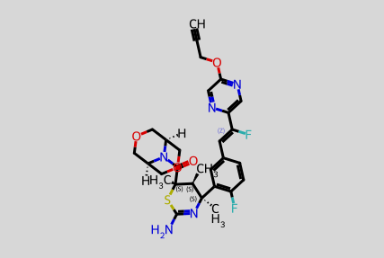 C#CCOc1cnc(/C(F)=C/c2ccc(F)c([C@@]3(C)N=C(N)S[C@](C)(C(=O)N4[C@H]5COC[C@@H]4COC5)[C@H]3C)c2)cn1